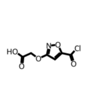 O=C(O)COc1cc(C(=O)Cl)on1